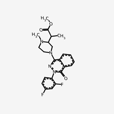 COC(=O)C(C)C1CN(c2nn(-c3ccc(F)cc3F)c(=O)c3ccccc23)CCN1C